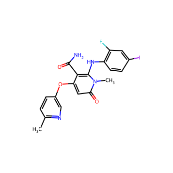 Cc1ccc(Oc2cc(=O)n(C)c(Nc3ccc(I)cc3F)c2C(N)=O)cn1